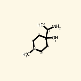 CN1CCC(O)(C(N)O)CC1